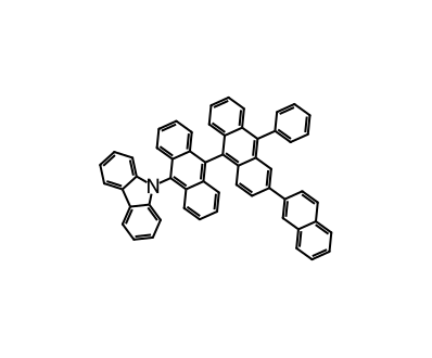 c1ccc(-c2c3ccccc3c(-c3c4ccccc4c(-n4c5ccccc5c5ccccc54)c4ccccc34)c3ccc(-c4ccc5ccccc5c4)cc23)cc1